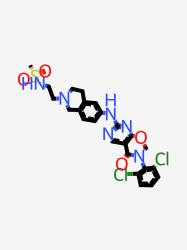 CS(=O)(=O)NCCN1CCc2cc(Nc3ncc4c(n3)OCN(c3c(Cl)cccc3Cl)C4=O)ccc2C1